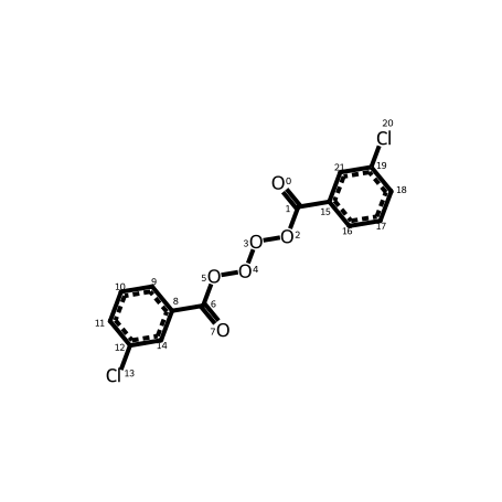 O=C(OOOOC(=O)c1cccc(Cl)c1)c1cccc(Cl)c1